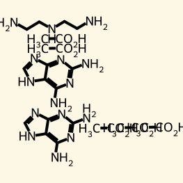 CC(=O)O.CC(=O)O.CC(=O)O.CC(=O)O.CC(=O)O.NCCNCCN.Nc1nc(N)c2[nH]cnc2n1.Nc1nc(N)c2[nH]cnc2n1